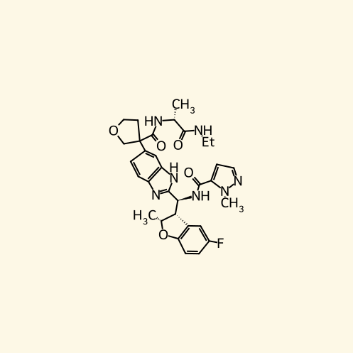 CCNC(=O)[C@@H](C)NC(=O)C1(c2ccc3nc([C@@H](NC(=O)c4ccnn4C)[C@@H]4c5cc(F)ccc5O[C@@H]4C)[nH]c3c2)CCOC1